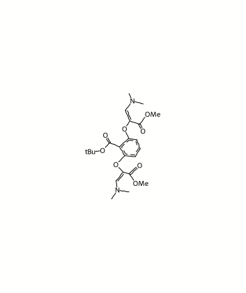 COC(=O)C(=CN(C)C)Oc1cccc(OC(=CN(C)C)C(=O)OC)c1C(=O)OC(C)(C)C